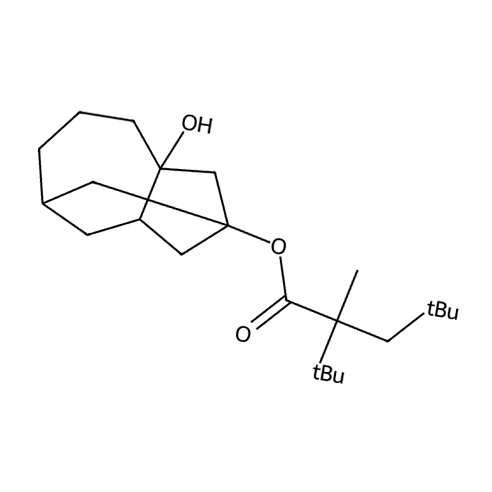 CC(C)(C)CC(C)(C(=O)OC12CC3CCCC(O)(C1)C(C3)C2)C(C)(C)C